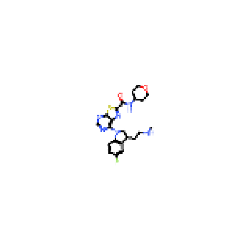 CNCCC1CN(c2ncnc3sc(C(=O)NC4CCOCC4)nc23)c2ccc(F)cc21